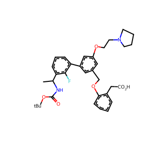 CC(NC(=O)OC(C)(C)C)c1cccc(-c2cc(COc3ccccc3CC(=O)O)cc(OCCN3CCCC3)c2)c1F